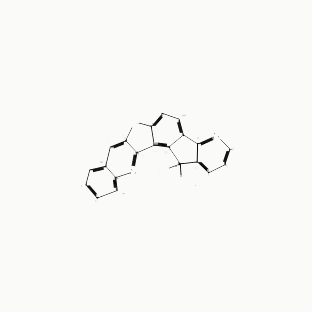 CC1(C)c2cccnc2-c2ccc3sc4cc5ccccc5nc4c3c21